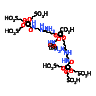 CC(C)(C)OC(=O)NCCOc1c(OCCCC/C(N)=C/NCCCNC(=O)c2cc(OCCCS(=O)(=O)O)c(OCCCS(=O)(=O)O)c(OCCCS(=O)(=O)O)c2)cc(C(=O)O)cc1OCCCC/C(N)=C/NCCCNC(=O)c1cc(OCCCS(=O)(=O)O)c(OCCCS(=O)(=O)O)c(OCCCS(=O)(=O)O)c1